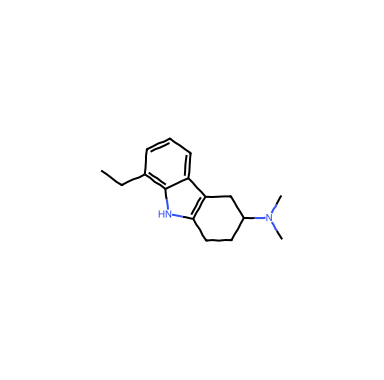 CCc1cccc2c3c([nH]c12)CCC(N(C)C)C3